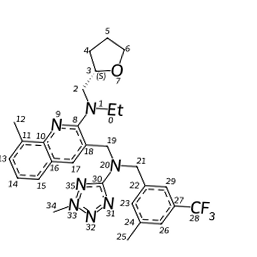 CCN(C[C@@H]1CCCO1)c1nc2c(C)cccc2cc1CN(Cc1cc(C)cc(C(F)(F)F)c1)c1nnn(C)n1